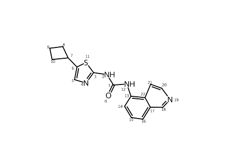 O=C(Nc1ncc(C2CCC2)s1)Nc1cccc2cnccc12